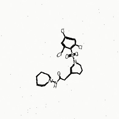 O=C(CC1CCCN(S(=O)(=O)c2c(Cl)cc(Cl)cc2Cl)C1)NN1CCCCC1